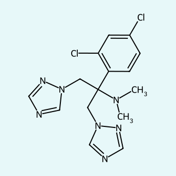 CN(C)C(Cn1cncn1)(Cn1cncn1)c1ccc(Cl)cc1Cl